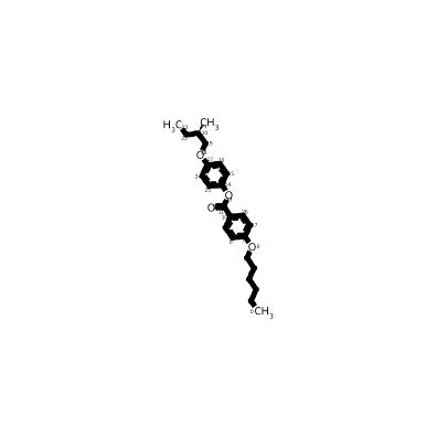 CCCCCCOc1ccc(C(=O)Oc2ccc(OC[C@@H](C)CC)cc2)cc1